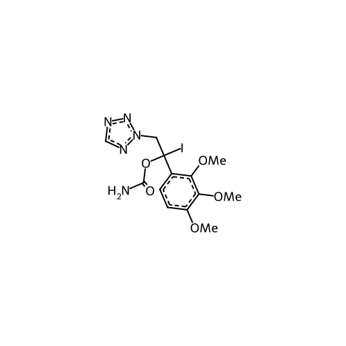 COc1ccc(C(I)(Cn2ncnn2)OC(N)=O)c(OC)c1OC